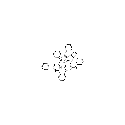 C1=CCC(c2ccc(-c3cc(-c4ccccc4)nc(-c4ccccc4-c4ccc5c(c4)OC4=CC=CCC4C54c5ccccc5-c5ccccc54)n3)c3ccccc23)C=C1